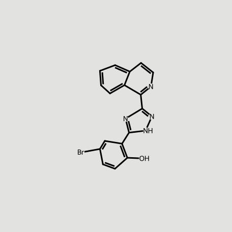 Oc1ccc(Br)cc1-c1nc(-c2nccc3ccccc23)n[nH]1